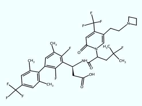 Cc1cc(-c2c(C)cc(C(F)(F)F)cc2C)c(F)c([C@H](CC(=O)O)NC(=O)C(CC(C)(C)F)n2cc(CCN3CCC3)c(C(F)(F)F)cc2=O)c1F